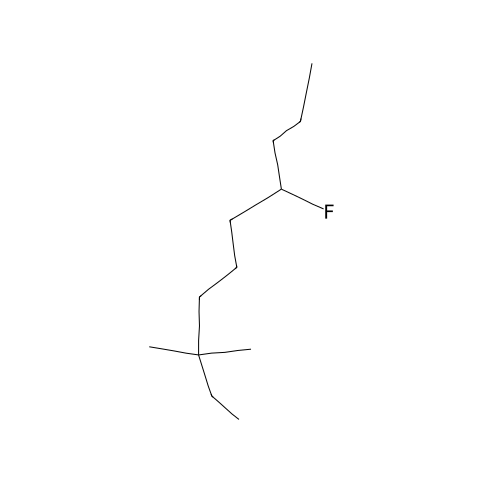 CCCC(F)CCCC(C)(C)CC